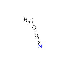 CCCCC[C@H]1CC[C@H](CCC2CCC(CCC=CC=CC#N)CC2)CC1